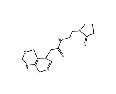 O=C(CN1C=NCC2=C1COCN2)NCCN1CCCC1=O